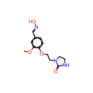 COc1cc(C=NO)ccc1OCCN1CCNC1=O